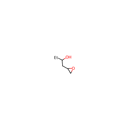 CCC(O)CC1CO1